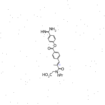 CCCN(CC(=O)O)C(=O)/C(C)=C/c1ccc(C(=O)Oc2ccc(C(=N)N)cc2)cc1